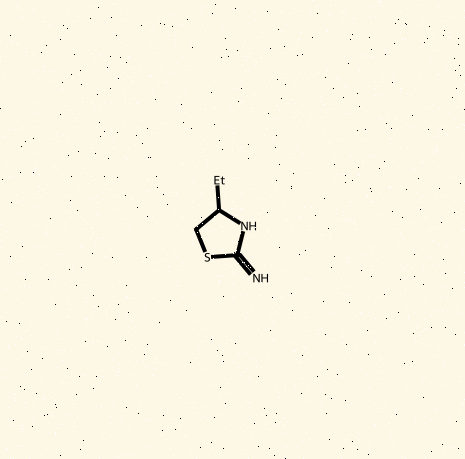 CCC1CSC(=N)N1